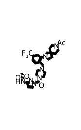 CC(=O)N1CCC2(CC1)CCN(c1cc(C(F)(F)F)ccc1CN1CCN(C(=O)n3ccc(NS(C)(=O)=O)n3)CC1)C2